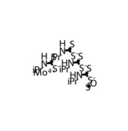 CC(C)NC(=S)[S-].CC(C)NC(=S)[S-].CC(C)NC(=S)[S-].CC(C)NC(=S)[S-].O=S.[Mo+4]